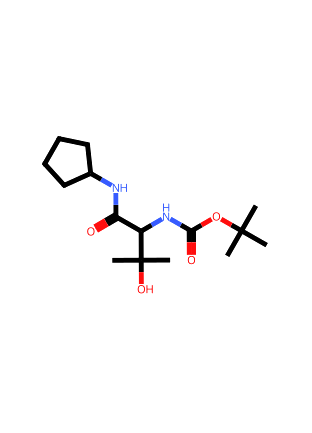 CC(C)(C)OC(=O)NC(C(=O)NC1CCCC1)C(C)(C)O